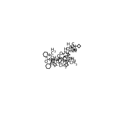 C=C[C@]1(C)C[C@]1(NC(=O)[C@@H]1C[C@@]2(CN1C(=O)[C@@H](NC(=O)[C@@H](NC(=O)[C@@H]1CCCCN1C(C)C)C1CCCCC1)C(C)(C)C)C(C)(C)C21CCC1)C(=O)NS(=O)(=O)N(C)C1CCC1